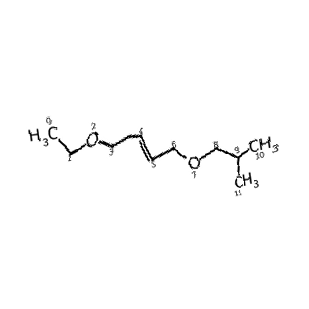 CCOC/C=C/COCC(C)C